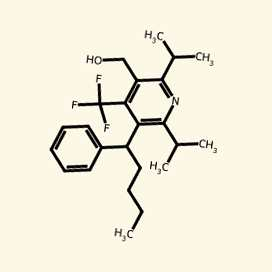 CCCCC(c1ccccc1)c1c(C(C)C)nc(C(C)C)c(CO)c1C(F)(F)F